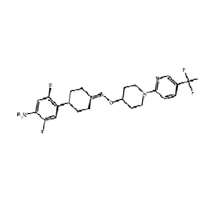 Nc1cc(F)c(C2CCC(=NOC3CCN(c4ccc(C(F)(F)F)cn4)CC3)CC2)cc1F